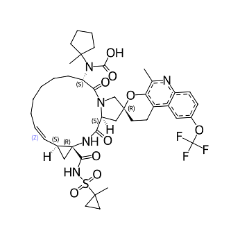 Cc1nc2ccc(OC(F)(F)F)cc2c2c1O[C@]1(CC2)C[C@H]2C(=O)N[C@]3(C(=O)NS(=O)(=O)C4(C)CC4)C[C@H]3/C=C\CCCCC[C@H](N(C(=O)O)C3(C)CCCC3)C(=O)N2C1